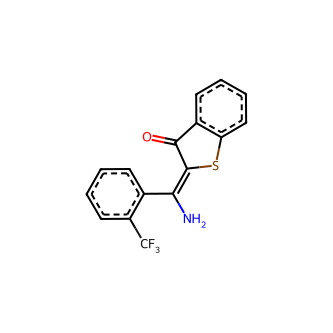 NC(=C1Sc2ccccc2C1=O)c1ccccc1C(F)(F)F